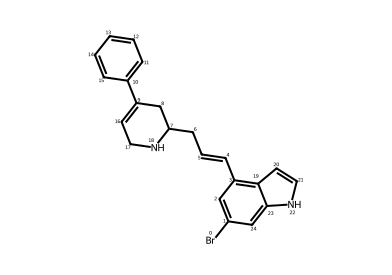 Brc1cc(C=CCC2CC(c3ccccc3)=CCN2)c2cc[nH]c2c1